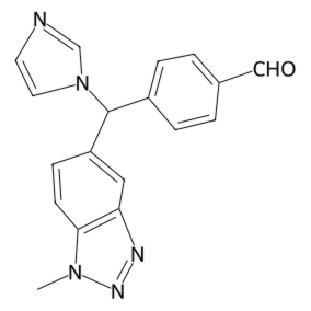 Cn1nnc2cc(C(c3ccc(C=O)cc3)n3ccnc3)ccc21